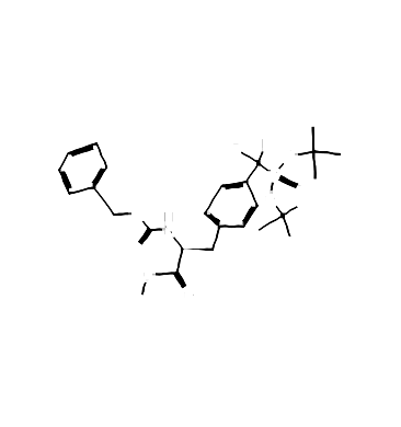 COC(=O)[C@H](Cc1ccc(C(F)(F)P(=O)(OC(C)(C)C)OC(C)(C)C)cc1)NC(=O)OCc1ccccc1